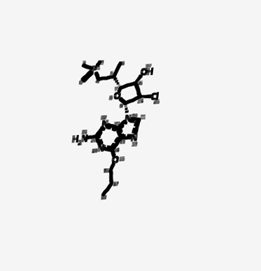 C=P(C)(C)CC(C)[C@H]1O[C@@H](n2cnc3c(OCCC)nc(N)nc32)[C@H](Cl)[C@@H]1O